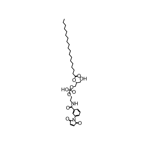 CCCCCCCCCCCCCCCCCCC(=O)OC(CO)COP(=O)(O)OCCNC(=O)c1cccc(N2C(=O)C=CC2=O)c1